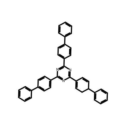 C1=CC(c2ccccc2)CC=C1c1nc(-c2ccc(-c3ccccc3)cc2)nc(-c2ccc(-c3ccccc3)cc2)n1